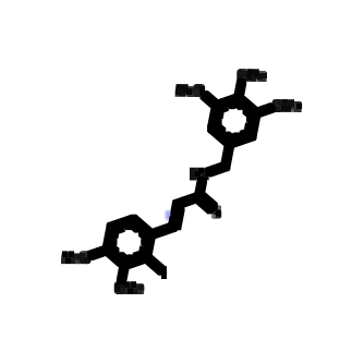 COc1cc(CNC(=S)/C=C/c2ccc(OC)c(OC)c2I)cc(OC)c1OC